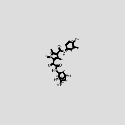 Cc1cc(NC(=O)c2c(C)c(C(=O)C(=O)NC3C[C@@H]4CC(O)[C@H]3C4)n(C)c2C)ccc1F